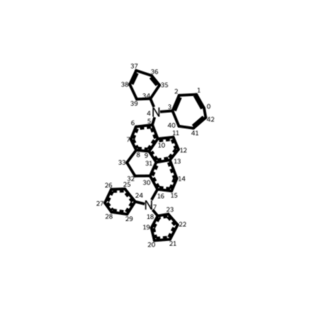 C1=CC=C(N(c2ccc3c4c2ccc2ccc(N(c5ccccc5)c5ccccc5)c(c24)CC3)C2C=CC=CC2)CC=C1